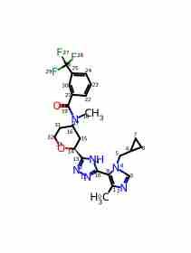 Cc1ncn(CC2CC2)c1-c1nnc([C@@H]2C[C@H](N(C)C(=O)c3cccc(C(F)(F)F)c3)CCO2)[nH]1